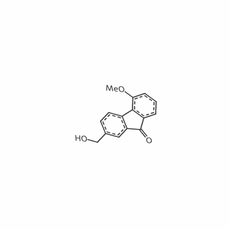 COc1cccc2c1-c1ccc(CO)cc1C2=O